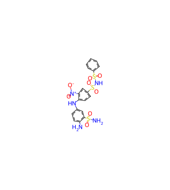 Nc1ccc(Nc2ccc(S(=O)(=O)NS(=O)(=O)c3ccccc3)cc2[N+](=O)[O-])cc1S(N)(=O)=O